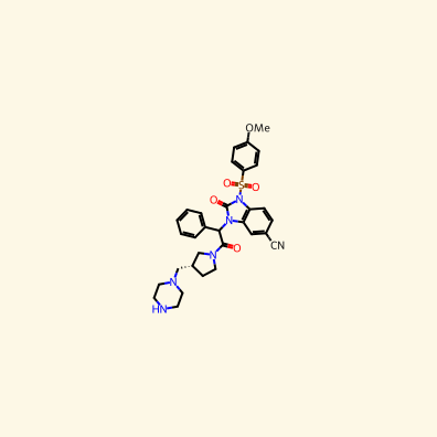 COc1ccc(S(=O)(=O)n2c(=O)n(C(C(=O)N3CC[C@H](CN4CCNCC4)C3)c3ccccc3)c3cc(C#N)ccc32)cc1